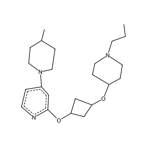 CCCN1CCC(OC2CC(Oc3cc(N4CCC(C)CC4)ccn3)C2)CC1